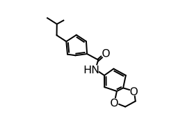 CC(C)Cc1ccc(C(=O)Nc2ccc3c(c2)OCCO3)cc1